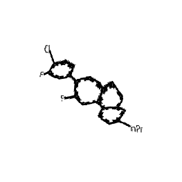 CCCc1ccc2c(ccc3cc(-c4ccc(Cl)c(F)c4)c(F)cc32)c1